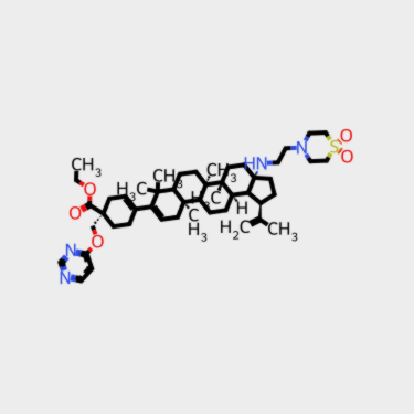 C=C(C)[C@@H]1CC[C@]2(NCCN3CCS(=O)(=O)CC3)CC[C@]3(C)[C@H](CCC4[C@@]5(C)CC=C(C6=CC[C@](COc7ccncn7)(C(=O)OCC)CC6)C(C)(C)C5CC[C@]43C)C12